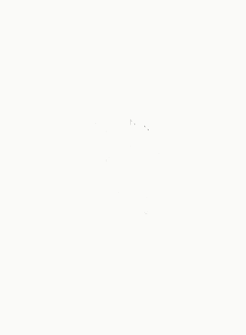 Cc1cc(Br)c(OCc2ccccc2)cc1Oc1c(C=O)c(C2CC2)nn1C